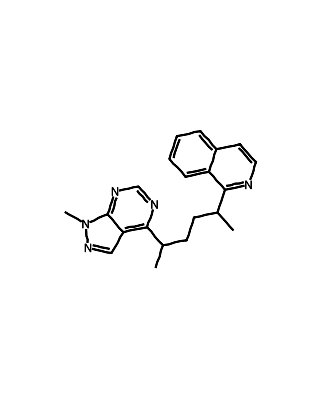 CC(CCC(C)c1ncnc2c1cnn2C)c1nccc2ccccc12